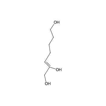 OCCCCC=C(O)CO